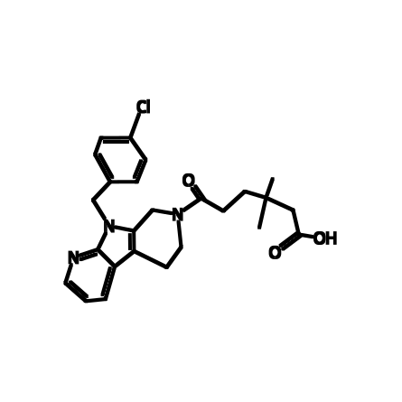 CC(C)(CCC(=O)N1CCc2c(n(Cc3ccc(Cl)cc3)c3ncccc23)C1)CC(=O)O